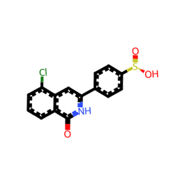 O=c1[nH]c(-c2ccc([S@@](=O)O)cc2)cc2c(Cl)cccc12